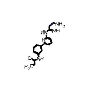 C=CC(=O)NC1=CC=CC(c2cccc(NC(=N)/C=C\N)n2)C1